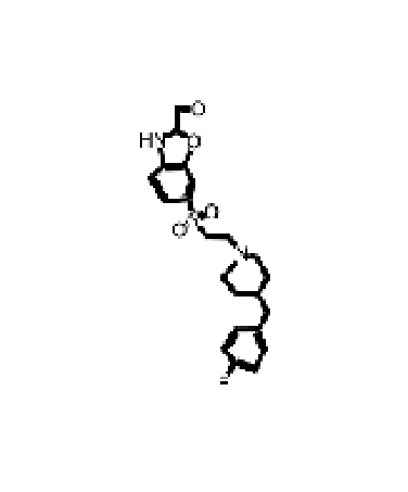 O=CC1Nc2ccc(S(=O)(=O)CCN3CCC(Cc4ccc(F)cc4)CC3)cc2O1